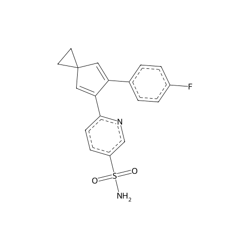 NS(=O)(=O)c1ccc(C2=CC3(C=C2c2ccc(F)cc2)CC3)nc1